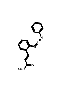 COC(=O)/C=C/c1ccccc1N=C=Nc1ccccc1